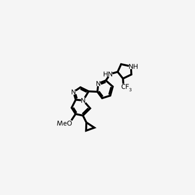 COc1cc2ncc(-c3cccc(NC4CNCC4C(F)(F)F)n3)n2cc1C1CC1